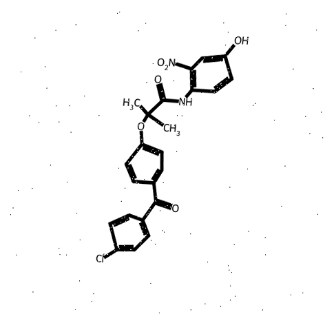 CC(C)(Oc1ccc(C(=O)c2ccc(Cl)cc2)cc1)C(=O)Nc1ccc(O)cc1[N+](=O)[O-]